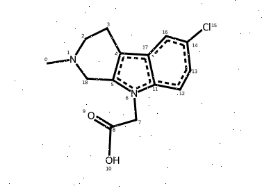 CN1CCc2c(n(CC(=O)O)c3ccc(Cl)cc23)C1